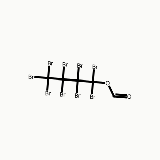 O=[C]OC(Br)(Br)C(Br)(Br)C(Br)(Br)C(Br)(Br)Br